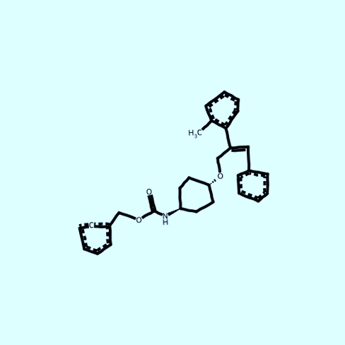 Cc1ccccc1C(=Cc1ccccc1)CO[C@H]1CC[C@H](NC(=O)OCc2ccccc2)CC1